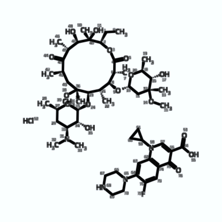 CC[C@H]1OC(=O)[C@H](C)[C@@H](O[C@H]2C[C@@](C)(OC)[C@@H](O)[C@H](C)O2)[C@H](C)[C@@H](O[C@@H]2O[C@H](C)C[C@H](N(C)C)[C@H]2O)[C@](C)(OC)C[C@@H](C)C(=O)[C@H](C)[C@@H](O)[C@]1(C)O.Cl.O=C(O)c1cn(C2CC2)c2cc(N3CCNCC3)c(F)cc2c1=O